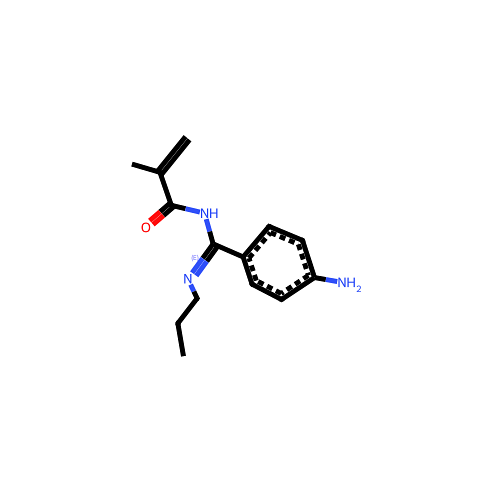 C=C(C)C(=O)N/C(=N/CCC)c1ccc(N)cc1